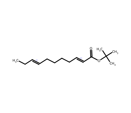 CC/C=C/CCCC/C=C/C(=O)OC(C)(C)C